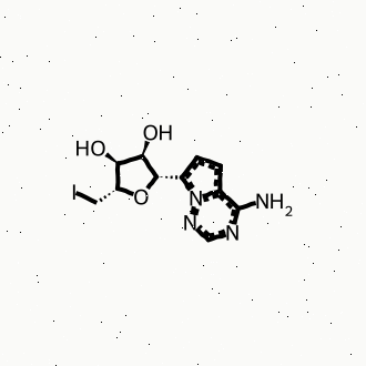 Nc1ncnn2c([C@@H]3O[C@H](CI)[C@@H](O)[C@H]3O)ccc12